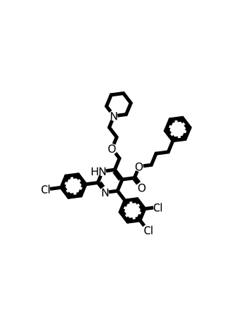 O=C(OCCCc1ccccc1)C1=C(COCCN2CCCCC2)NC(c2ccc(Cl)cc2)=NC1c1ccc(Cl)c(Cl)c1